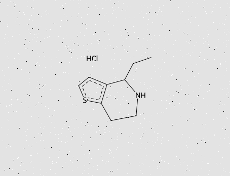 CCC1NCCc2sccc21.Cl